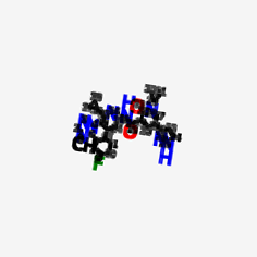 Cn1cnnc1-c1cc(F)ccc1-c1cc(NC(=O)c2cc(-c3cc[nH]n3)cn(C3CC3)c2=O)nc(C2CC2)c1